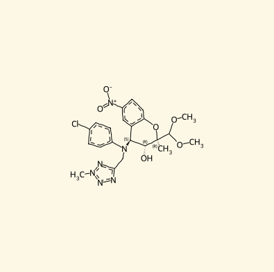 COC(OC)[C@]1(C)Oc2ccc([N+](=O)[O-])cc2[C@H](N(Cc2nnn(C)n2)c2ccc(Cl)cc2)[C@H]1O